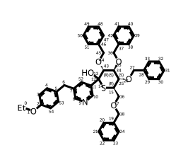 CCOc1ccc(Cc2cncc(C3(O)S[C@H](COCc4ccccc4)[C@@H](OCc4ccccc4)[C@H](OCc4ccccc4)[C@H]3OCc3ccccc3)c2)cc1